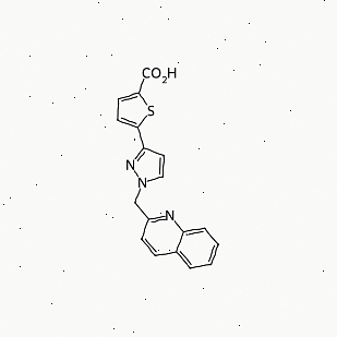 O=C(O)c1ccc(-c2ccn(Cc3ccc4ccccc4n3)n2)s1